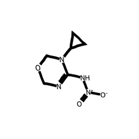 O=[N+]([O-])NC1=NCOCN1C1CC1